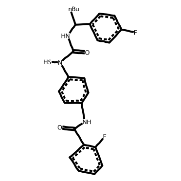 CCCCC(NC(=O)N(S)c1ccc(NC(=O)c2ccccc2F)cc1)c1ccc(F)cc1